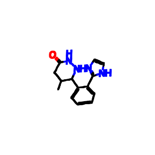 CC1CC(=O)NNC1c1ccccc1-c1ncc[nH]1